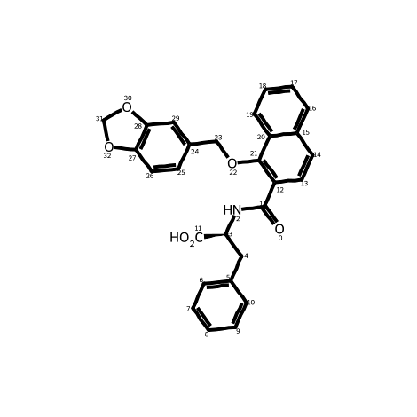 O=C(N[C@@H](Cc1ccccc1)C(=O)O)c1ccc2ccccc2c1OCc1ccc2c(c1)OCO2